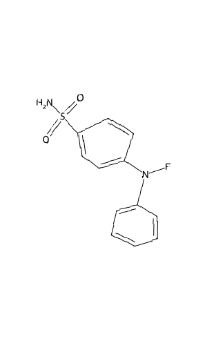 NS(=O)(=O)c1ccc(N(F)c2ccccc2)cc1